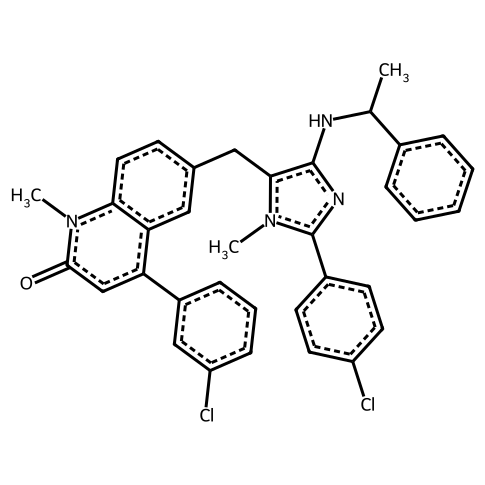 CC(Nc1nc(-c2ccc(Cl)cc2)n(C)c1Cc1ccc2c(c1)c(-c1cccc(Cl)c1)cc(=O)n2C)c1ccccc1